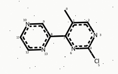 Cc1cnc(Cl)nc1-c1cnccn1